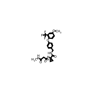 CNC(=O)CC(=O)NC1(C(=O)NCc2ccc(Oc3ccc(OC)cc3C(F)(F)F)cc2)CC1